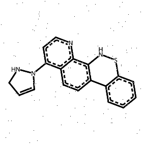 C1=CN(c2ccnc3c4c(ccc23)-c2ccccc2SN4)NC1